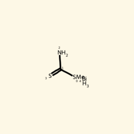 CSC(N)=S.[BiH3]